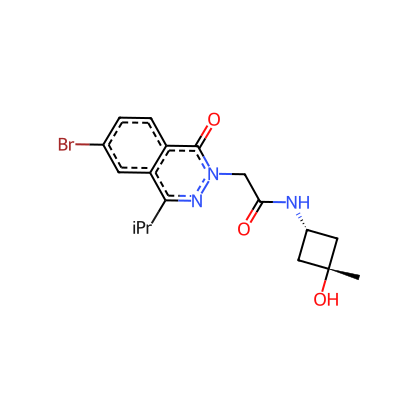 CC(C)c1nn(CC(=O)N[C@H]2C[C@@](C)(O)C2)c(=O)c2ccc(Br)cc12